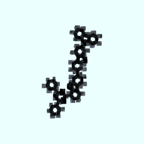 c1ccc(-c2nc(-c3ccccc3)nc(-c3cccc4c3oc3cc(-c5ccc6c(c5)sc5cc(-n7c8ccccc8c8ccccc87)ccc56)ccc34)n2)cc1